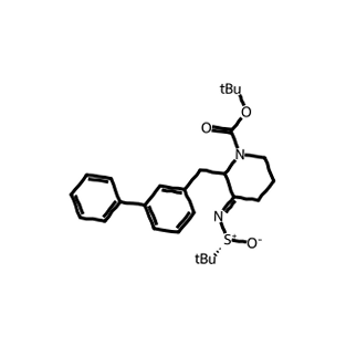 CC(C)(C)OC(=O)N1CCCC(=N[S@+]([O-])C(C)(C)C)C1Cc1cccc(-c2ccccc2)c1